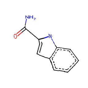 NC(=O)C1=Cc2ccccc2[N]1